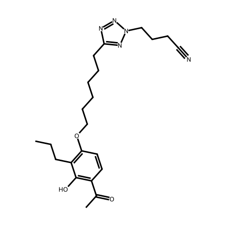 CCCc1c(OCCCCCCc2nnn(CCCC#N)n2)ccc(C(C)=O)c1O